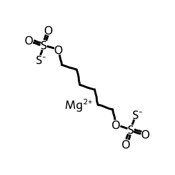 O=S(=O)([S-])OCCCCCCOS(=O)(=O)[S-].[Mg+2]